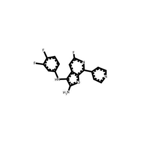 Nc1oc2c(-c3ccncc3)nc(F)cc2c1Nc1ccc(F)c(F)c1